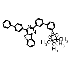 CC1(C)OB(c2cccc(-c3cccc(-c4nc(-c5ccc(-c6ccccc6)cc5)c5sc6ccccc6c5n4)c3)c2)OC1(C)C